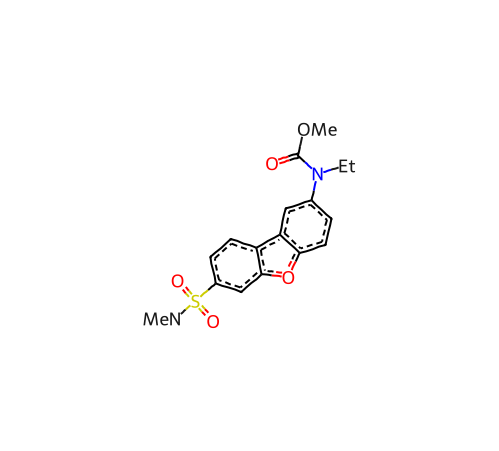 CCN(C(=O)OC)c1ccc2oc3cc(S(=O)(=O)NC)ccc3c2c1